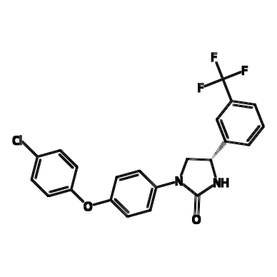 O=C1N[C@@H](c2cccc(C(F)(F)F)c2)CN1c1ccc(Oc2ccc(Cl)cc2)cc1